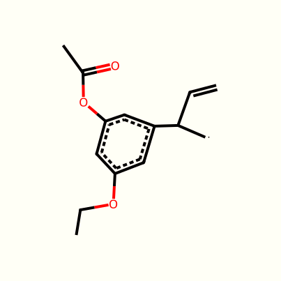 [CH2]C(C=C)c1cc(OCC)cc(OC(C)=O)c1